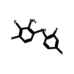 Nc1c(Nc2ccc(I)cc2F)ccc(F)c1F